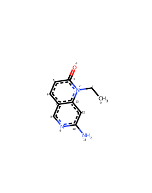 CCn1c(=O)ccc2cnc(N)cc21